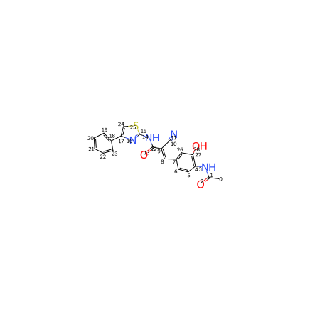 CC(=O)Nc1ccc(/C=C(\C#N)C(=O)Nc2nc(-c3ccccc3)cs2)cc1O